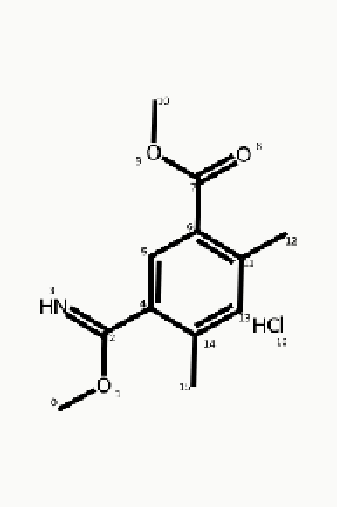 COC(=N)c1cc(C(=O)OC)c(C)cc1C.Cl